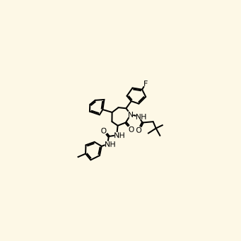 Cc1ccc(NC(=O)NC2CC(c3ccccc3)CC(c3ccc(F)cc3)N(NC(=O)CC(C)(C)C)C2=O)cc1